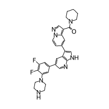 O=C(c1cnn2ccc(-c3c[nH]c4ncc(-c5cc(F)c(F)c(N6CCNCC6)c5)cc34)cc12)N1CCCCC1